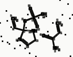 C=CC(N)=O.C=CC1(OS(=O)(=O)O)N=CCN1